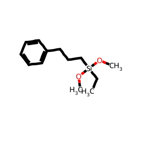 CC[Si](CCCc1ccccc1)(OC)OC